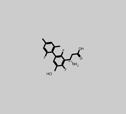 Cc1cc(C)c(-c2cc(C)c(F)c([C@@H](N)CC(=O)O)c2F)c(F)c1.Cl